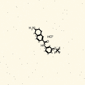 Cl.NC1CCc2cc(C(=O)Nc3cccc(OC(F)(F)F)c3)ccc2C1